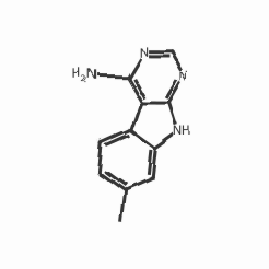 Cc1ccc2c(c1)[nH]c1ncnc(N)c12